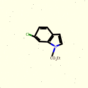 CCOC(=O)n1ccc2ccc(Cl)cc21